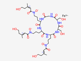 C/C(=C/C(=O)N([O-])CCCC1NC(=O)CNC(=O)C(CO)NC(=O)C(CO)NC(=O)C(CCCN([O-])C(=O)/C=C(\C)CCO)NC(=O)C(CCCN([O-])C(=O)/C=C(\C)CCO)NC1=O)CCO.[Fe+3]